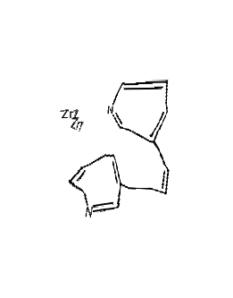 C(=C/c1cccnc1)/c1cccnc1.[Zn].[Zn]